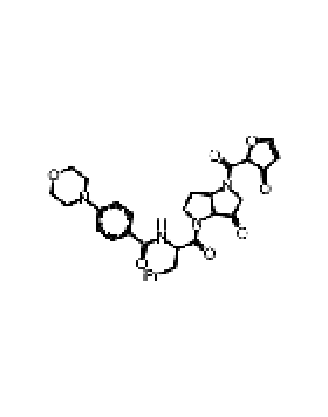 CC(C)CC(NC(=O)c1ccc(N2CCOCC2)cc1)C(=O)N1CCC2C1C(=O)CN2C(=O)C1OC=CC1=O